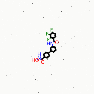 O=C(NO)c1ccc(-c2cccc(NC(=O)c3ccc(F)c(F)c3F)c2)cc1